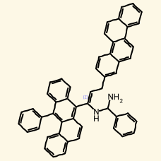 NC(N/C(=C\Cc1ccc2c(ccc3c4ccccc4ccc23)c1)c1c2ccccc2c(-c2ccccc2)c2c1ccc1ccccc12)c1ccccc1